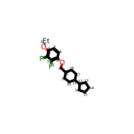 CCOc1ccc(OCC2CCC(C3CCCC3)CC2)c(F)c1F